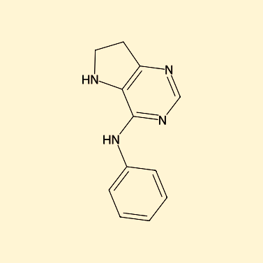 c1ccc(Nc2ncnc3c2NCC3)cc1